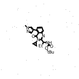 CCC(NC(=O)OC(C)(C)C)c1nc2cccc(-c3cnn(C)c3)c2c(=O)n1C1CC1